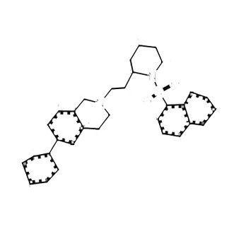 O=S(=O)(c1cccc2ccccc12)N1CCCCC1CCN1CCc2cc(-c3ccccc3)ccc2C1